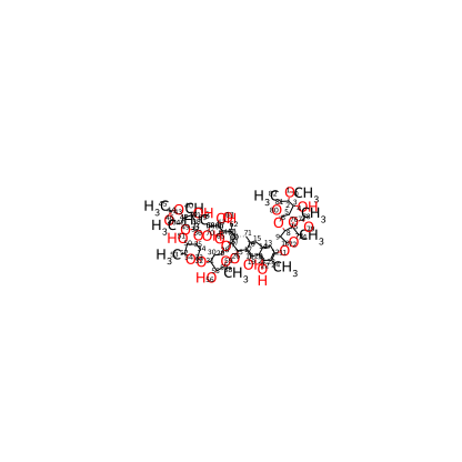 COC1C(O)CC(OC2CC(Oc3cc4cc5c(c(O)c4c(O)c3C)C(=O)[C@@H](OC3CC(OC4CC(OC6CC(C)(O)C(OC(C)=O)C(C)O6)C(O)C(C)O4)C(O)C(C)O3)[C@H]([C@H](C=O)C(=O)[C@@H](O)[C@@H](C)O)C5)OC(C)C2OC(C)=O)OC1C